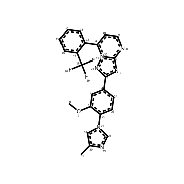 COc1cc(-c2nc3nccc(-c4ccccc4C(F)(F)F)n3n2)ccc1-n1cnc(C)c1